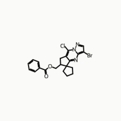 O=C(OCC1Cc2c(nc3c(Br)cnn3c2Cl)C12CCCC2)c1ccccc1